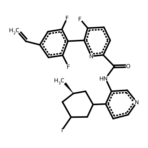 C=Cc1cc(F)c(-c2nc(C(=O)Nc3cnccc3C3CC(I)C[C@@H](C)C3)ccc2F)c(F)c1